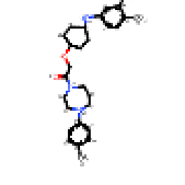 O=C(COC1CCC(Nc2ccc([N+](=O)[O-])c(C(F)(F)F)c2)CC1)N1CCCN(c2ccc(C(F)(F)F)cc2)CC1